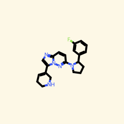 Fc1cccc(C2CCCN2c2ccc3ncc(C4=CCCNC4)n3n2)c1